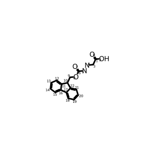 O=C(O)CN=NC(=O)OCC1c2ccccc2-c2ccccc21